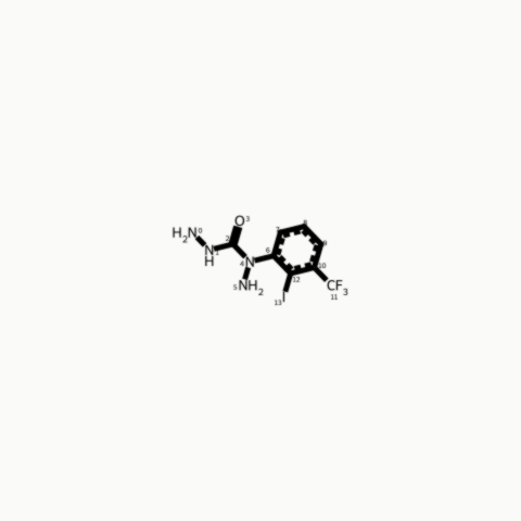 NNC(=O)N(N)c1cccc(C(F)(F)F)c1I